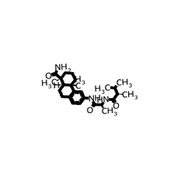 CC(C)[C@H](C)C(=O)N[C@@H](C)C(=O)Nc1ccc2c(c1)[C@@]1(C)CCC[C@](C)(C(N)=O)[C@@H]1CC2